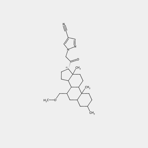 COCC1CC2CC(C)CCC2(C)C2CCC3(C)C(CC[C@@H]3C(=O)Cn3cc(C#N)cn3)C12